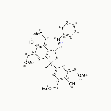 COCc1cc(C(C)(CC/C=N/c2ccccc2)c2cc(COC)c(O)c(COC)c2)cc(COC)c1O